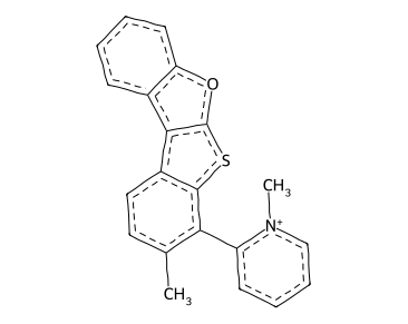 Cc1ccc2c(sc3oc4ccccc4c32)c1-c1cccc[n+]1C